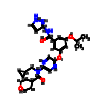 CC(C)Oc1cc(Oc2cnc(N(CC3CC3)C(=O)C3CCOCC3)cn2)cc(C(=O)Nc2cc[nH]n2)c1